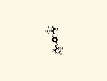 NC(=O)C(N)CSc1ccc(SCC(NI)C(N)=O)cc1